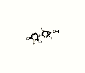 C[C@H]1C2[C@@H](O)[C@H]2O[C@H]1n1ccc(=O)[nH]c1=O